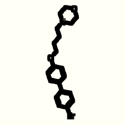 Brc1ccc(-c2ccc(OCCCCN3CCOCC3)cc2)cc1